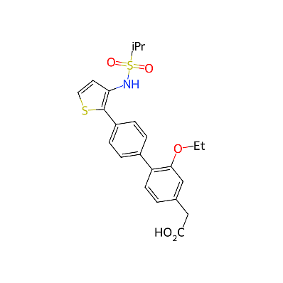 CCOc1cc(CC(=O)O)ccc1-c1ccc(-c2sccc2NS(=O)(=O)C(C)C)cc1